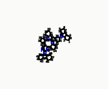 c1ccc2c(c1)c1ccccc1n2-c1ccc2c(c1)c1c3ccccc3n3c4ccccc4c4cnc(-n5c6ccccc6c6ccccc65)nc4c4ccccc4n2c13